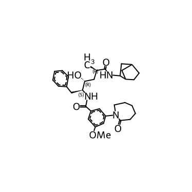 COc1cc(C(=O)N[C@@H](Cc2ccccc2)[C@H](O)C[C@@H](C)C(=O)NC2CC3CCC2C3)cc(N2CCCCCC2=O)c1